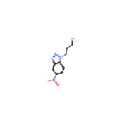 CCCCn1nnc2cc([N+](=O)[O-])ccc21